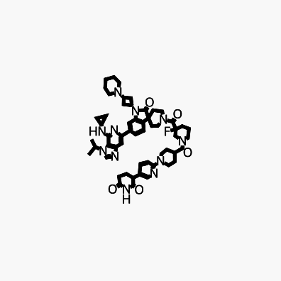 CC(C)n1cnc2cc(-c3ccc4c(c3)N(C3CC(N5CCCCC5)C3)C(=O)C43CCN(C(=O)C4(F)CCCN(C(=O)C5CCN(c6ccc(C7CCC(=O)NC7=O)cn6)CC5)C4)CC3)nc(NC3CC3)c21